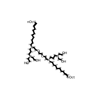 CCCCCCCC/C=C/CCCCCCCCN(CCCN(CCO)CCO)CCOCCOCCN(CCCCCCCC/C=C/CCCCCCCC)CCCN(CCO)CCO